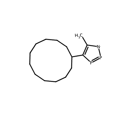 CC1=C(C2CCCCCCCCCCC2)P=P[N]1